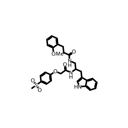 COc1ccccc1CCC(=O)NCC(Cc1c[nH]c2ccccc12)NC(=O)COc1ccc(S(C)(=O)=O)cc1